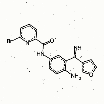 N=C(c1ccoc1)c1cc(NC(=O)c2cccc(Br)n2)ccc1N